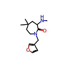 CNC1CC(C)(C)CCN(Cc2ccoc2)C1=O